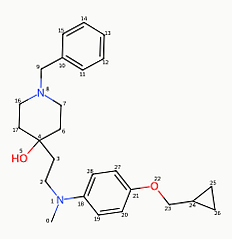 CN(CCC1(O)CCN(Cc2ccccc2)CC1)c1ccc(OCC2CC2)cc1